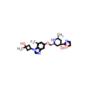 C[C@H]1C[C@@](O)(c2ncco2)C[C@@H](COc2cc(C(F)(F)F)c3c(c2)ncn3C2CC(C)(O)C2)N1